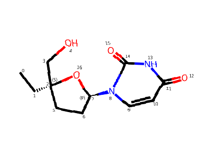 CC[C@@]1(CO)CC[C@H](n2ccc(=O)[nH]c2=O)O1